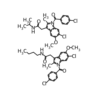 CCCCNC(=O)Cc1c(C)n(C(=O)c2ccc(Cl)cc2)c2cc(Cl)c(OC)cc12.COc1cc2c(CC(=O)NC(C)C)c(C)n(C(=O)c3ccc(Cl)cc3)c2cc1Cl